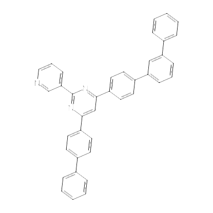 c1ccc(-c2ccc(-c3cc(-c4ccc(-c5cccc(-c6ccccc6)c5)cc4)nc(-c4cccnc4)n3)cc2)cc1